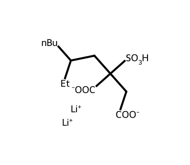 CCCCC(CC)CC(CC(=O)[O-])(C(=O)[O-])S(=O)(=O)O.[Li+].[Li+]